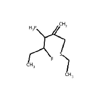 C=C(CSCC)C(P)C(F)CC